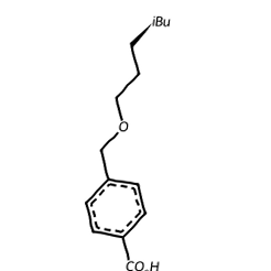 CC[C@H](C)CCCOCc1ccc(C(=O)O)cc1